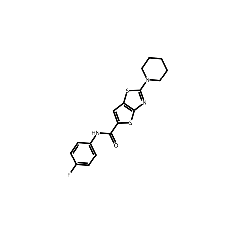 O=C(Nc1ccc(F)cc1)c1cc2sc(N3CCCCC3)nc2s1